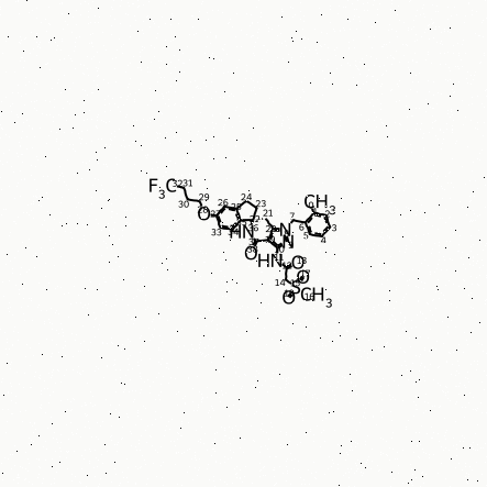 Cc1ccccc1Cn1nc(NC(=O)CS(C)(=O)=O)c2c1C[C@]1(CCc3cc(OCCCC(F)(F)F)ccc31)NC2=O